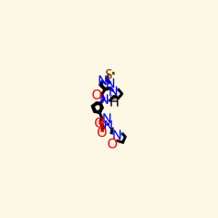 CSc1ncc2c(n1)N1CCC[C@H]1CN(c1cccc(-c3nn(CCN4CCCC4=O)c(=O)o3)c1)C2=O